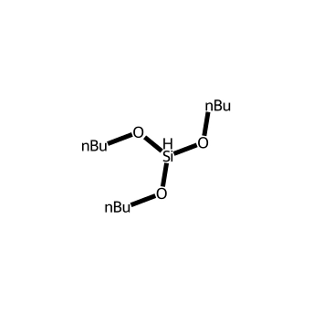 CCCCO[SiH](OCCCC)OCCCC